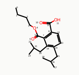 CCCCOC(=O)c1c(C(=O)O)ccc(CC(C)C)c1CC(C)C